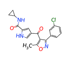 Cc1onc(-c2cccc(Cl)c2)c1C(=O)c1c[nH]c(C(=O)NC2CC2)c1